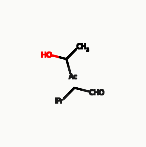 CC(=O)C(C)O.CC(C)CC=O